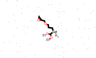 CCOC(OCC)[SiH](C)CCCOCC1CO1